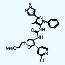 COCCN1C[C@@H](NC(=O)Nc2c(C)c(-c3cnn(C)c3)nn2-c2ccccc2)[C@H](c2ccnc(Cl)c2)O1